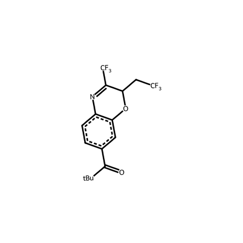 CC(C)(C)C(=O)c1ccc2c(c1)OC(CC(F)(F)F)C(C(F)(F)F)=N2